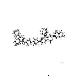 C1=CC2c3ccc(-c4ccc(-c5ccc(Oc6ccc(-c7ccccc7)c7ccccc67)cc5)cc4)cc3N(c3ccccc3)C2C=C1c1ccc2ccccc2c1